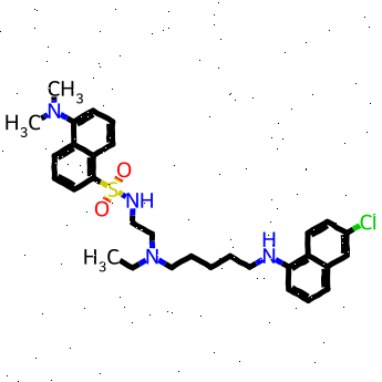 CCN(CCCCCNc1cccc2cc(Cl)ccc12)CCNS(=O)(=O)c1cccc2c(N(C)C)cccc12